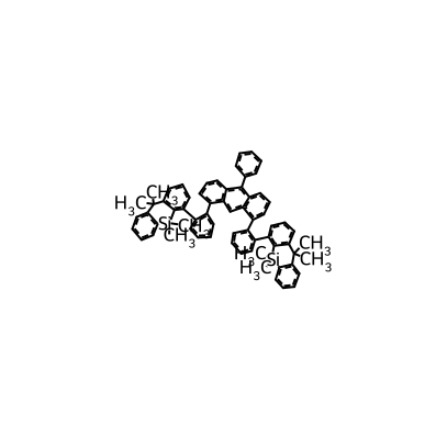 CC1(C)c2ccccc2[Si](C)(C)c2c(-c3ccccc3-c3cccc4c(-c5ccccc5)c5cccc(-c6ccccc6-c6cccc7c6[Si](C)(C)c6ccccc6C7(C)C)c5cc34)cccc21